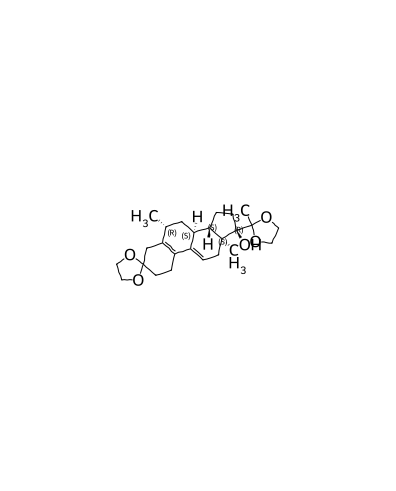 C[C@@H]1C[C@@H]2C(=CC[C@@]3(C)[C@H]2CC[C@]3(O)C2(C)OCCO2)C2=C1CC1(CC2)OCCO1